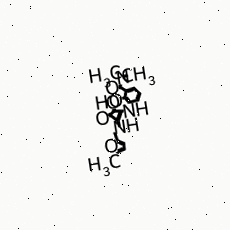 Cc1ccc(CNc2c(Nc3cccc(C(=O)N(C)C)c3O)c(=O)c2=O)o1